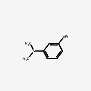 CCCc1[c]ccc(N(C)C)c1